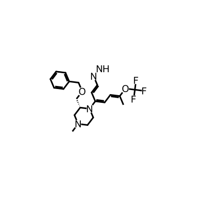 C\C(=C/C=C(\C=C\N=N)N1CCN(C)C[C@@H]1COCc1ccccc1)OC(F)(F)F